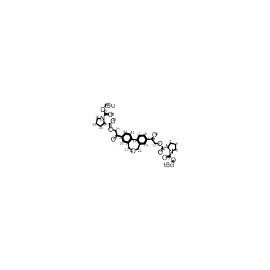 CC(C)(C)OC(=O)N1CCC[C@H]1C(=O)OCC(=O)c1ccc2c(c1)COCc1cc(C(=O)COC(=O)[C@@H]3CCCN3C(=O)OC(C)(C)C)ccc1-2